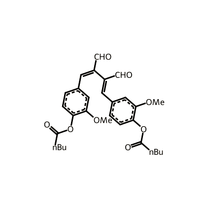 CCCCC(=O)Oc1ccc(C=C(C=O)C(C=O)=Cc2ccc(OC(=O)CCCC)c(OC)c2)cc1OC